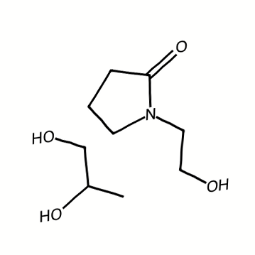 CC(O)CO.O=C1CCCN1CCO